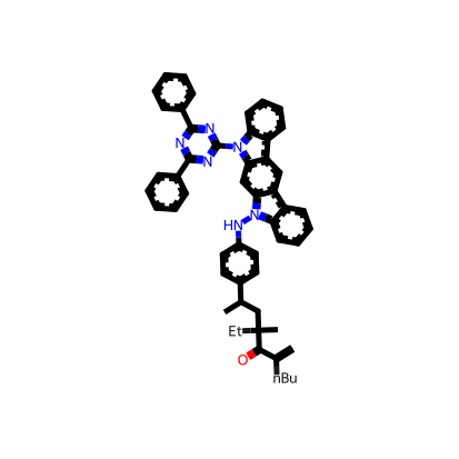 C=C(CCCC)C(=O)C(C)(CC)CC(C)c1ccc(Nn2c3ccccc3c3cc4c5ccccc5n(-c5nc(-c6ccccc6)nc(-c6ccccc6)n5)c4cc32)cc1